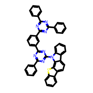 c1ccc(-c2nc(-c3ccccc3)nc(-c3cccc(-c4nc(-c5ccccc5)nc(-n5c6ccccc6c6ccc7c8ccccc8sc7c65)n4)c3)n2)cc1